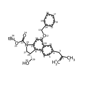 C=C(C)Cc1ccc2c3c(cc(OCc4ccccc4)c2c1)N(C(=O)OC(C)(C)C)C[C@H]3CO